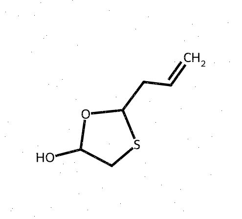 C=CCC1OC(O)CS1